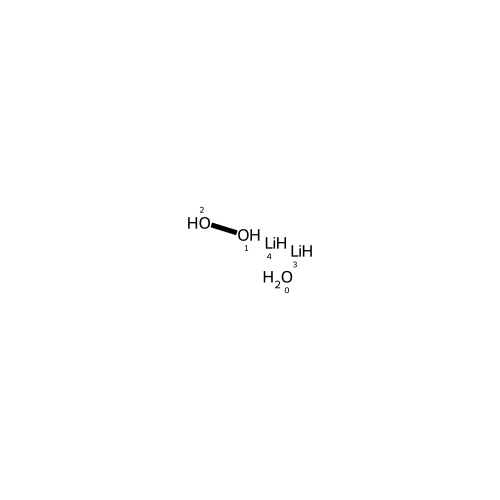 O.OO.[LiH].[LiH]